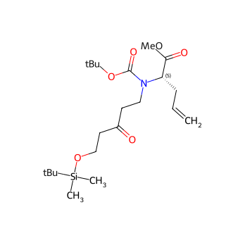 C=CC[C@@H](C(=O)OC)N(CCC(=O)CCO[Si](C)(C)C(C)(C)C)C(=O)OC(C)(C)C